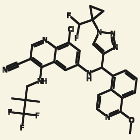 COc1nccc2c(C(Nc3cc(Cl)c4ncc(C#N)c(NCC(C)(C)C(F)(F)F)c4c3)c3cn(C4(C(F)F)CC4)nn3)cccc12